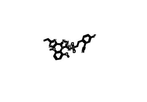 CCc1nc(-c2nnc(NS(=O)(=O)CCc3ccc(F)cc3C#N)n2-c2c(OC)cccc2OC)cs1